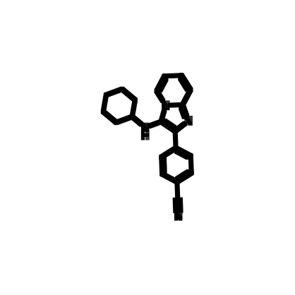 N#Cc1ccc(-c2nc3ccccn3c2NC2CCCCC2)cc1